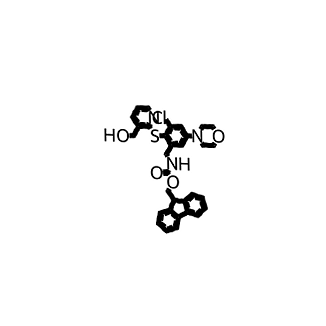 O=C(NCc1cc(N2CCOCC2)cc(Cl)c1Sc1ncccc1CO)OCC1c2ccccc2-c2ccccc21